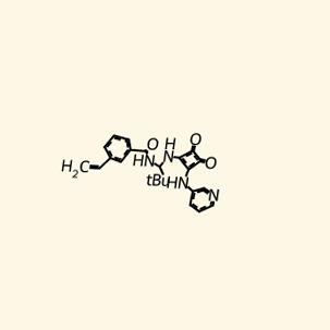 C=Cc1cccc(C(=O)NC(Nc2c(Nc3cccnc3)c(=O)c2=O)C(C)(C)C)c1